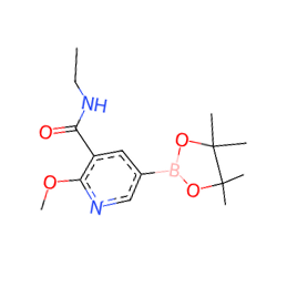 CCNC(=O)c1cc(B2OC(C)(C)C(C)(C)O2)cnc1OC